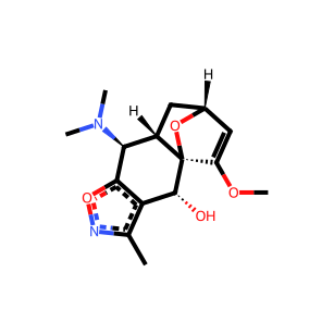 COC1=C[C@H]2C[C@H]3[C@H](N(C)C)c4onc(C)c4[C@@H](O)[C@@]13O2